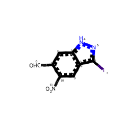 O=Cc1cc2[nH]nc(I)c2cc1[N+](=O)[O-]